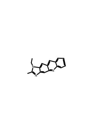 CCn1c(C)nc2cc3nc4ccccc4cc3cc21